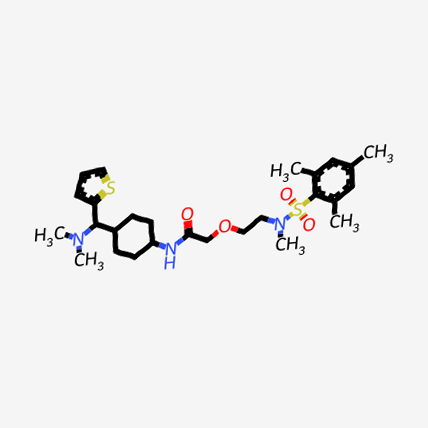 Cc1cc(C)c(S(=O)(=O)N(C)CCOCC(=O)NC2CCC(C(c3cccs3)N(C)C)CC2)c(C)c1